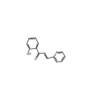 O=C(C=Cc1ccccn1)c1ccccc1O